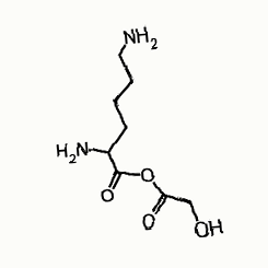 NCCCCC(N)C(=O)OC(=O)CO